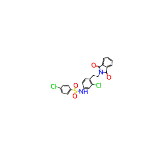 O=C1c2ccccc2C(=O)N1CCc1ccc(NS(=O)(=O)c2ccc(Cl)cc2)cc1Cl